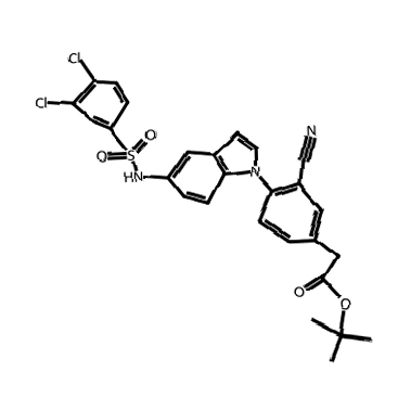 CC(C)(C)OC(=O)Cc1ccc(-n2ccc3cc(NS(=O)(=O)c4ccc(Cl)c(Cl)c4)ccc32)c(C#N)c1